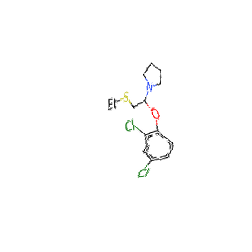 CCSCC(Oc1ccc(Cl)cc1Cl)N1CCCC1